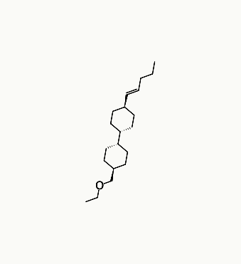 CCCC=C[C@H]1CC[C@H]([C@H]2CC[C@H](COCC)CC2)CC1